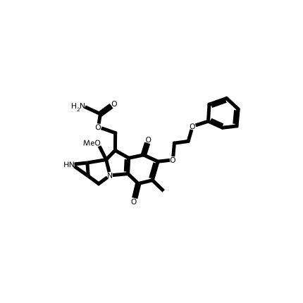 COC12C(COC(N)=O)C3=C(C(=O)C(C)=C(OCCOc4ccccc4)C3=O)N1CC1NC12